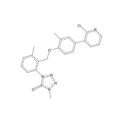 Cc1cc(-c2cccnc2Cl)ccc1OCc1c(C)cccc1-n1nnn(C)c1=O